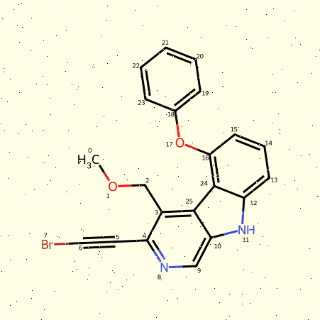 COCc1c(C#CBr)ncc2[nH]c3cccc(Oc4ccccc4)c3c12